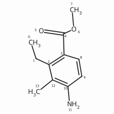 CCc1c(C(=O)OC)ccc(N)c1C